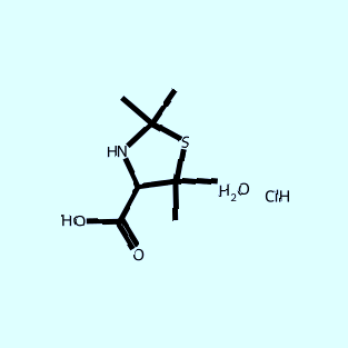 CC1(C)NC(C(=O)O)C(C)(C)S1.Cl.O